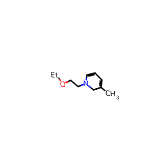 CCOCCN1C=CC=C(C)C1